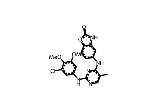 COc1cc(Nc2ncc(C)c(Nc3ccc4oc(=O)[nH]c4c3)n2)cc(Cl)c1OC